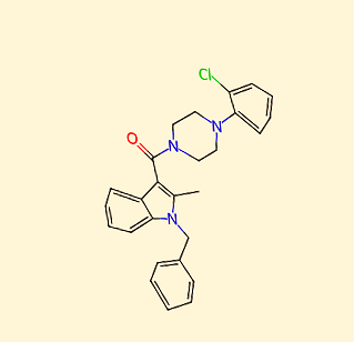 Cc1c(C(=O)N2CCN(c3ccccc3Cl)CC2)c2ccccc2n1Cc1ccccc1